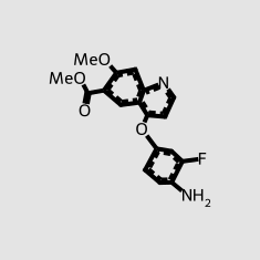 COC(=O)c1cc2c(Oc3ccc(N)c(F)c3)ccnc2cc1OC